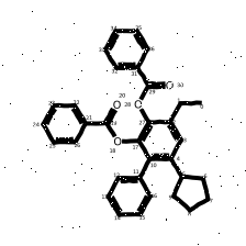 CCc1cc(C2CCCC2)c(-c2ccccc2)c(OC(=O)c2ccccc2)c1OC(=O)c1ccccc1